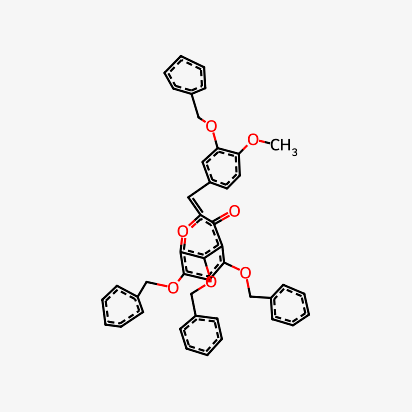 COc1ccc(C=c2oc3c(OCc4ccccc4)cc(OCc4ccccc4)c(c3OCc3ccccc3)c2=O)cc1OCc1ccccc1